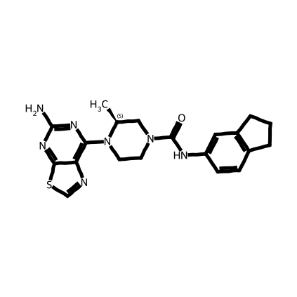 C[C@H]1CN(C(=O)Nc2ccc3c(c2)CCC3)CCN1c1nc(N)nc2scnc12